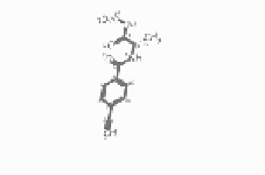 C#Cc1ccc(C(=O)N[C@@H](C)C(=O)OCCCCCCCCCC)cc1